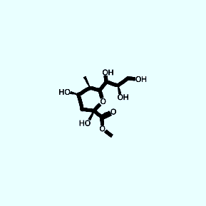 COC(=O)[C@]1(O)C[C@@H](O)[C@@H](C)C(C(O)[C@H](O)CO)O1